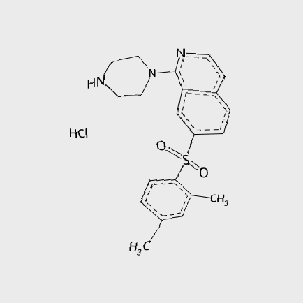 Cc1ccc(S(=O)(=O)c2ccc3ccnc(N4CCNCC4)c3c2)c(C)c1.Cl